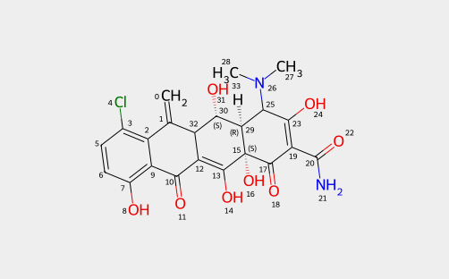 C=C1c2c(Cl)ccc(O)c2C(=O)C2=C(O)[C@]3(O)C(=O)C(C(N)=O)=C(O)C(N(C)C)[C@@H]3[C@@H](O)C12